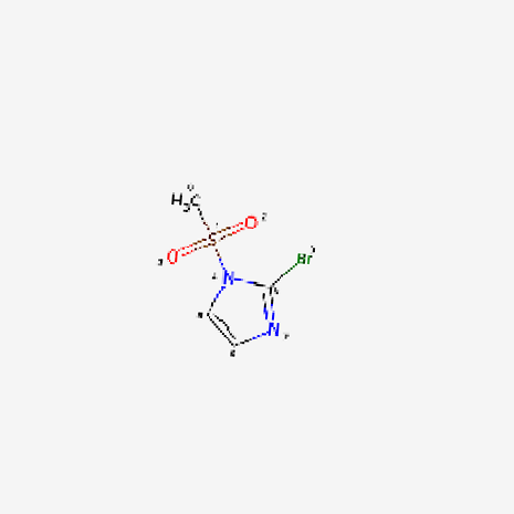 CS(=O)(=O)n1ccnc1Br